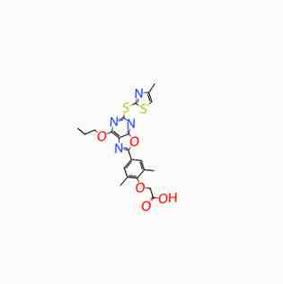 CCCOc1nc(Sc2nc(C)cs2)nc2oc(-c3cc(C)c(OCC(=O)O)c(C)c3)nc12